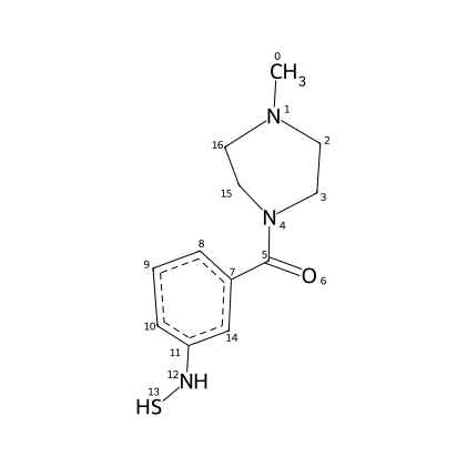 CN1CCN(C(=O)c2cccc(NS)c2)CC1